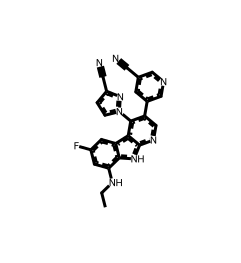 CCNc1cc(F)cc2c1[nH]c1ncc(-c3cncc(C#N)c3)c(-n3ccc(C#N)n3)c12